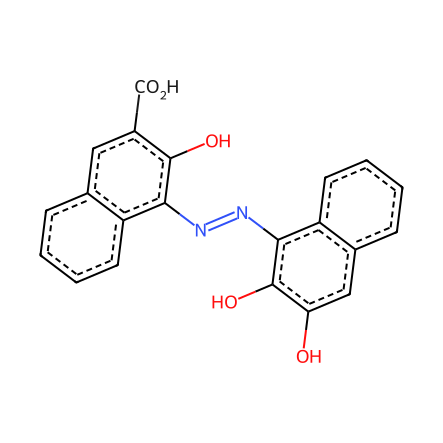 O=C(O)c1cc2ccccc2c(N=Nc2c(O)c(O)cc3ccccc23)c1O